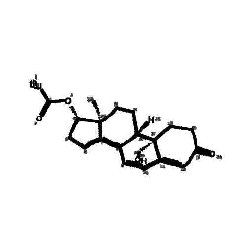 CC(C)(C)C(=O)O[C@H]1CCC2=C3C=CC4=CC(=O)CC[C@]4(CO)[C@H]3CC[C@@]21C